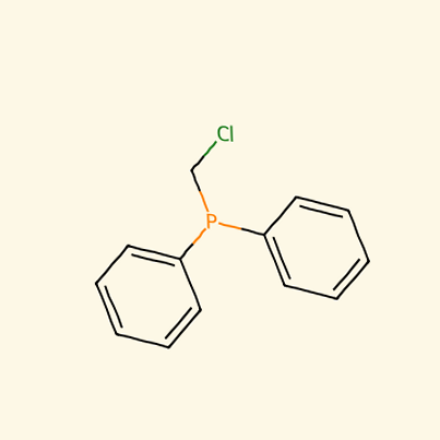 ClCP(c1ccccc1)c1ccccc1